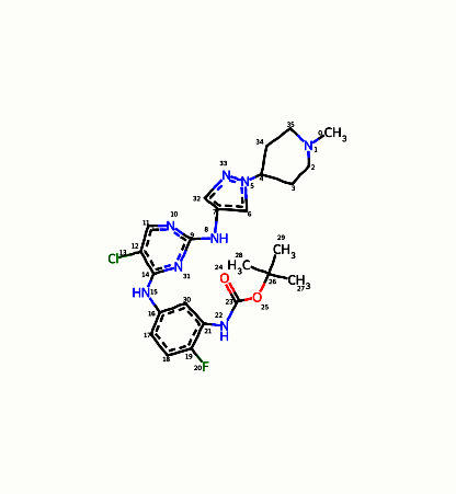 CN1CCC(n2cc(Nc3ncc(Cl)c(Nc4ccc(F)c(NC(=O)OC(C)(C)C)c4)n3)cn2)CC1